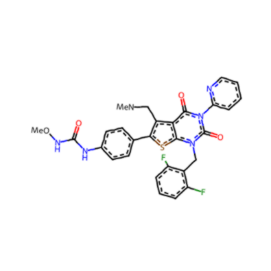 CNCc1c(-c2ccc(NC(=O)NOC)cc2)sc2c1c(=O)n(-c1ccccn1)c(=O)n2Cc1c(F)cccc1F